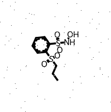 CCCS(=O)(=O)c1ccccc1S(=O)(=O)NO